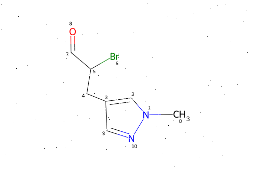 Cn1cc(CC(Br)C=O)cn1